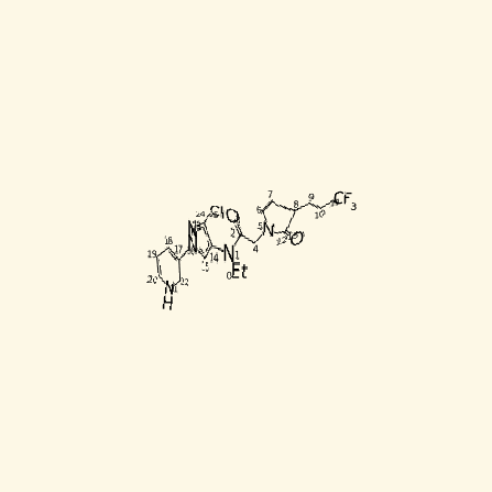 CCN(C(=O)CN1CCC(CCC(F)(F)F)C1=O)c1cn(C2=CC=CNC2)nc1Cl